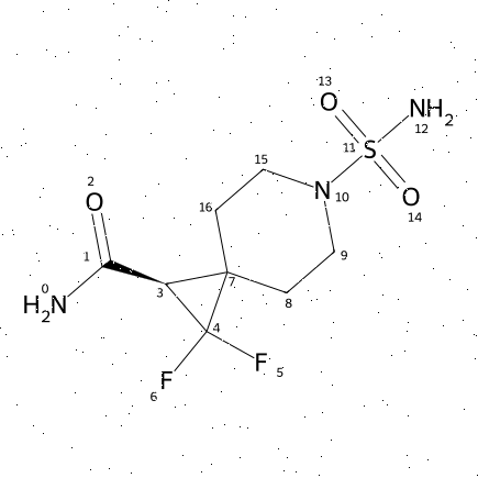 NC(=O)[C@@H]1C(F)(F)C12CCN(S(N)(=O)=O)CC2